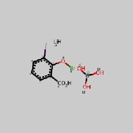 O=C(O)c1cccc(I)c1OBr.OB(O)O.[LiH]